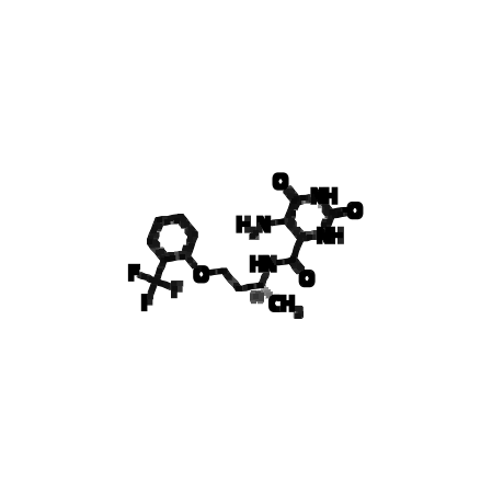 C[C@H](CCOc1ccccc1C(F)(F)F)NC(=O)c1[nH]c(=O)[nH]c(=O)c1N